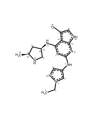 CCn1cc(Nc2nc(N[C@H]3CN[C@@H](C)C3)c3c(Cl)c[nH]c3n2)cn1